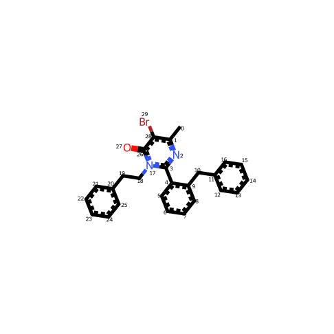 Cc1nc(-c2ccccc2Cc2ccccc2)n(CCc2ccccc2)c(=O)c1Br